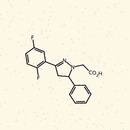 O=C(O)CN1N=C(c2cc(F)ccc2F)CC1c1ccccc1